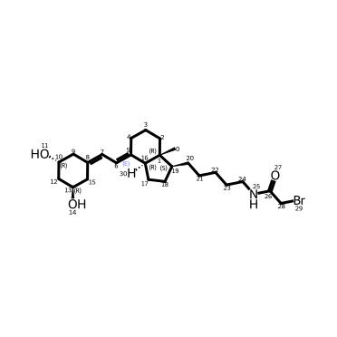 C[C@]12CCC/C(=C\C=C3C[C@@H](O)C[C@H](O)C3)[C@@H]1CC[C@@H]2CCCCCNC(=O)CBr